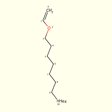 C=COCCCCCCCCCCCCC